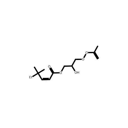 C=C(C)OOCC(O)COC(=O)/C=C\C(C)(C)CC